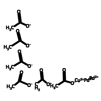 CC(=O)[O-].CC(=O)[O-].CC(=O)[O-].CC(=O)[O-].CC(=O)[O-].CC(=O)[O-].[Cu+2].[Pd+2].[Pd+2]